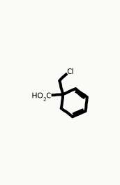 O=C(O)C1(CCl)C=CC=CC1